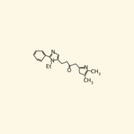 CCn1c(CCC(=O)CC2=NC(C)=C(C)C2)cnc1-c1ccccc1